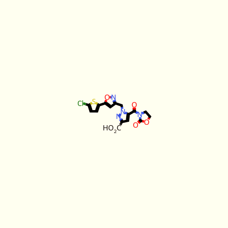 O=C(O)c1cc(C(=O)N2CCOC2=O)n(Cc2cc(-c3ccc(Cl)s3)on2)n1